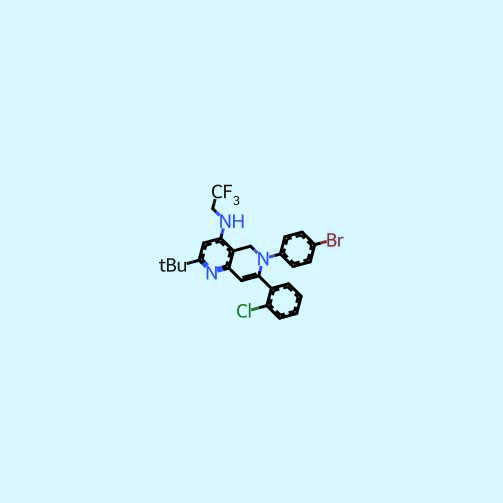 CC(C)(C)c1cc(NCC(F)(F)F)c2c(n1)C=C(c1ccccc1Cl)N(c1ccc(Br)cc1)C2